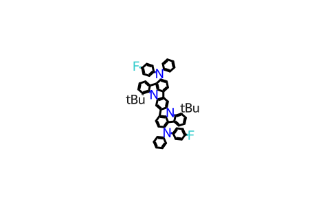 CC(C)(C)c1cccc2c3c(N(c4ccccc4)c4ccc(F)cc4)ccc4c5cc6c(cc5n(c12)c43)c1ccc(N(c2ccccc2)c2ccc(F)cc2)c2c3cccc(C(C)(C)C)c3n6c12